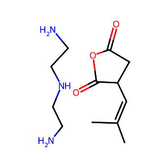 CC(C)=CC1CC(=O)OC1=O.NCCNCCN